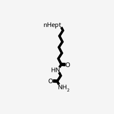 CCCCCCCCCCCCCC(=O)NCC(N)=O